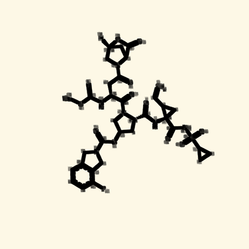 C=CC1C[C@]1(NC(=O)[C@@H]1CC(OC(=O)N2Cc3cccc(F)c3C2)CN1C(=O)[C@H](CC(=O)N1C[C@H]2CC1C(=O)O2)NC(=O)OC(C)(C)C)C(=O)NS(=O)(=O)C1CC1